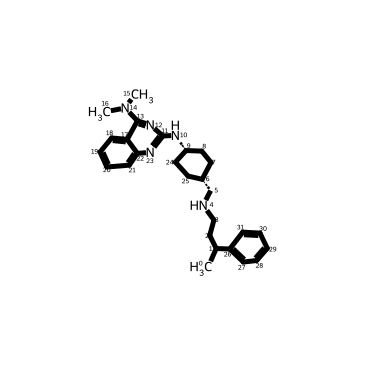 CC(CCNC[C@H]1CC[C@@H](Nc2nc(N(C)C)c3ccccc3n2)CC1)c1ccccc1